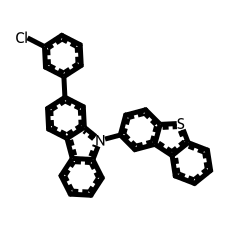 Clc1cccc(-c2ccc3c4ccccc4n(-c4ccc5sc6ccccc6c5c4)c3c2)c1